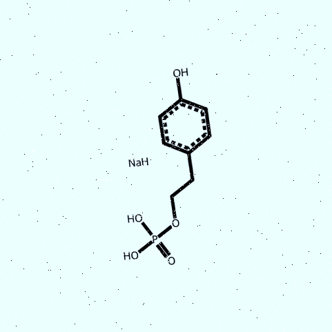 O=P(O)(O)OCCc1ccc(O)cc1.[NaH]